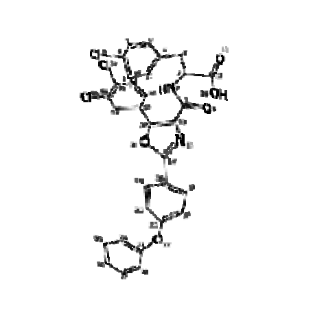 O=C(NC(Cc1ccc(Cl)cc1)C(=O)O)c1nc(-c2ccc(Oc3ccccc3)cc2)oc1-c1cnc(Cl)c(Cl)c1